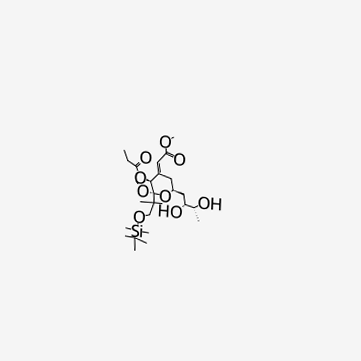 CCC(=O)O[C@H]1/C(=C/C(=O)OC)C[C@@H](C[C@@H](O)[C@@H](C)O)O[C@@]1(OC)C(C)(C)CO[Si](C)(C)C(C)(C)C